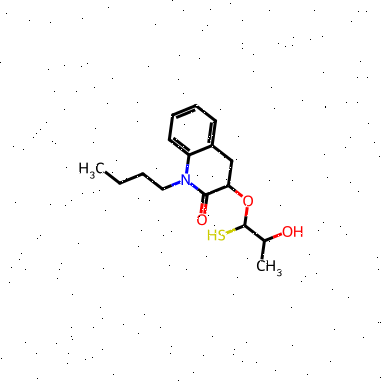 CCCCN1C(=O)C(OC(S)C(C)O)Cc2ccccc21